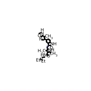 CCN(CC)CCNC(=O)c1c(C)[nH]c(/C=C2\C(=O)Nc3ccc(-c4cnc5c(c4C)NCCO5)cc32)c1C